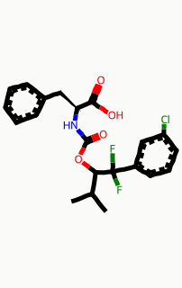 CC(C)C(OC(=O)N[C@@H](Cc1ccccc1)C(=O)O)C(F)(F)c1cccc(Cl)c1